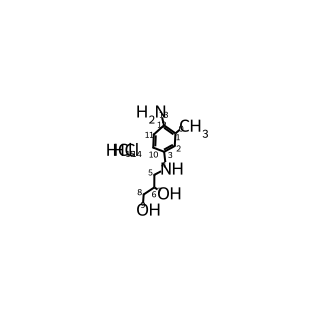 Cc1cc(NCC(O)CO)ccc1N.Cl.Cl